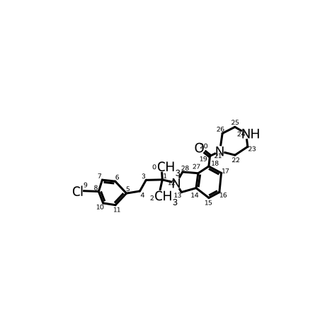 CC(C)(CCc1ccc(Cl)cc1)N1Cc2cccc(C(=O)N3CCNCC3)c2C1